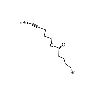 CCCCC#CCCCOC(=O)CCCCBr